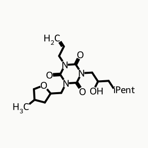 C=CCn1c(=O)n(CC(O)CC(C)CCC)c(=O)n(CC2CC(C)CO2)c1=O